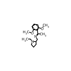 CCN1CCCC1C/N=C(\C)c1c(OC)cccc1OC